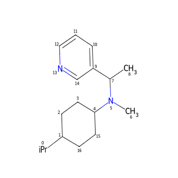 CC(C)C1CCC(N(C)C(C)c2cccnc2)CC1